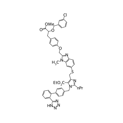 CCCc1nc(CSc2ccc3nc(COc4ccc(CC(OCc5cccc(Cl)c5)C(=O)OC)cc4)n(C)c3c2)c(C(=O)OCC)n1Cc1ccc(-c2ccccc2-c2nnn[nH]2)cc1